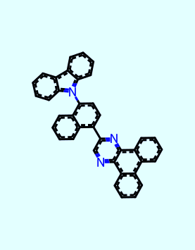 c1ccc2c(-n3c4ccccc4c4ccccc43)ccc(-c3cnc4c5ccccc5c5ccccc5c4n3)c2c1